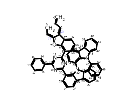 C=C/C=c1\c(=C/C)oc2c(-c3nc(-c4ccccc4)nc(-c4cccc5c6ccccc6n(-c6cccc7c8ccccc8n(-c8ccccc8)c67)c45)n3)cccc12